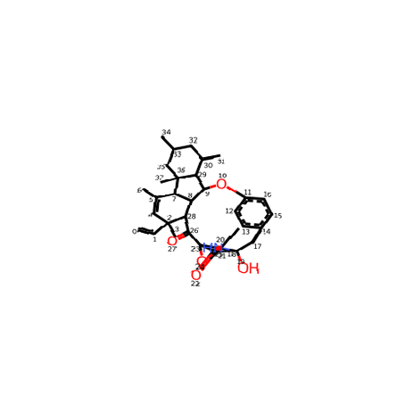 C=CC1(C)C=C(C)C2C3C(Oc4ccc(cc4)CC4(O)NC(=O)C5(OC45)C(=O)C31)C1C(C)CC(C)CC21C